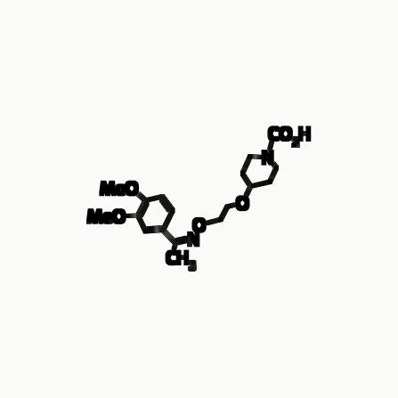 COc1ccc(/C(C)=N\OCCOC2CCN(C(=O)O)CC2)cc1OC